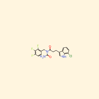 NC(=O)N(Cc1ccc(F)c(F)c1F)C(=O)CCc1c[nH]c2c(Cl)cccc12